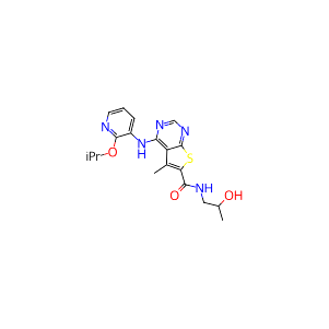 Cc1c(C(=O)NCC(C)O)sc2ncnc(Nc3cccnc3OC(C)C)c12